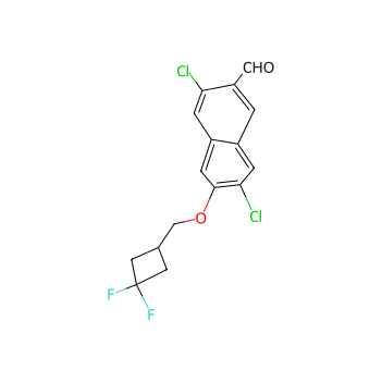 O=Cc1cc2cc(Cl)c(OCC3CC(F)(F)C3)cc2cc1Cl